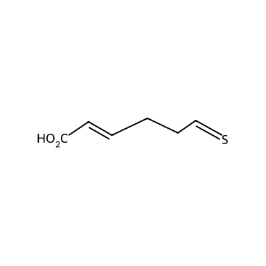 O=C(O)C=CCCC=S